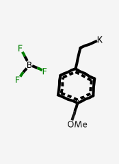 COc1ccc([CH2][K])cc1.FB(F)F